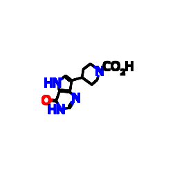 O=C(O)N1CCC(c2c[nH]c3c(=O)[nH]cnc23)CC1